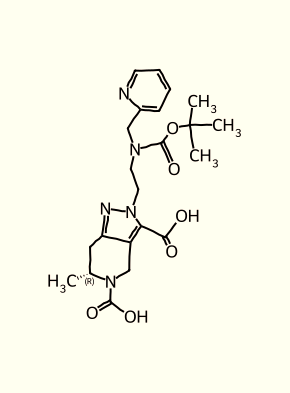 C[C@@H]1Cc2nn(CCN(Cc3ccccn3)C(=O)OC(C)(C)C)c(C(=O)O)c2CN1C(=O)O